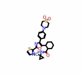 N#CC1(NC(=O)C2CCCCC2c2oc(-c3nccs3)nc2-c2ccc(N3CCS(=O)(=O)CC3)cc2)CC1